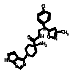 Cc1cc([C@@H](CNC(=O)C2(N)CCN(c3ncnc4[nH]ccc34)CC2)c2ccc(Cl)cc2)on1